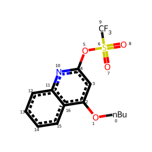 CCCCOc1cc(OS(=O)(=O)C(F)(F)F)nc2ccccc12